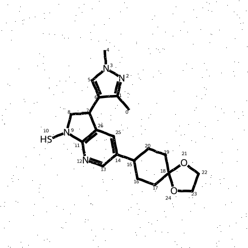 Cc1nn(C)cc1C1CN(S)c2ncc(C3CCC4(CC3)OCCO4)cc21